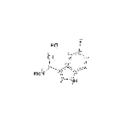 CNC(C)c1c[nH]c2ccc(F)cc12.Cl